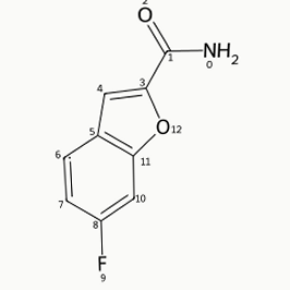 NC(=O)c1cc2[c]cc(F)cc2o1